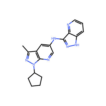 Cc1nn(C2CCCC2)c2ncc(Nc3n[nH]c4cccnc34)cc12